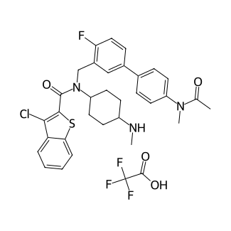 CNC1CCC(N(Cc2cc(-c3ccc(N(C)C(C)=O)cc3)ccc2F)C(=O)c2sc3ccccc3c2Cl)CC1.O=C(O)C(F)(F)F